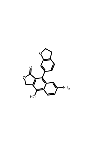 Nc1ccc2c(O)c3c(c(-c4ccc5c(c4)OCC5)c2c1)C(=O)OC3